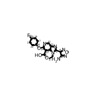 CCn1c(-c2nonc2N)nc2cnc(Oc3ccc(F)cc3)c(C(=O)O)c21